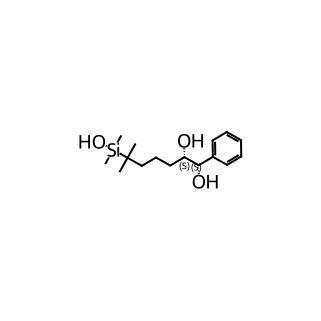 CC(C)(CCC[C@H](O)[C@@H](O)c1ccccc1)[Si](C)(C)O